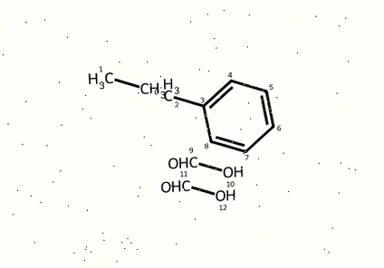 CC.Cc1ccccc1.O=CO.O=CO